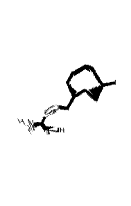 N=C(N)SCc1cccc(I)c1